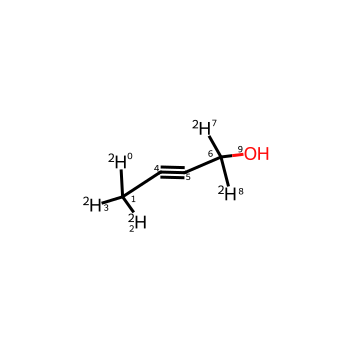 [2H]C([2H])([2H])C#CC([2H])([2H])O